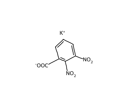 O=C([O-])c1cccc([N+](=O)[O-])c1[N+](=O)[O-].[K+]